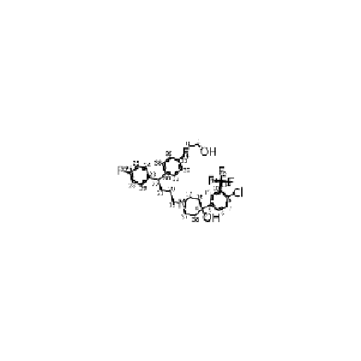 CCO.OC1(c2ccc(Cl)c(C(F)(F)F)c2)CCN(CCCC(c2ccc(F)cc2)c2ccc(F)cc2)CC1